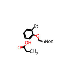 CCC(=O)O.CCCCCCCCCCOc1ccccc1CC